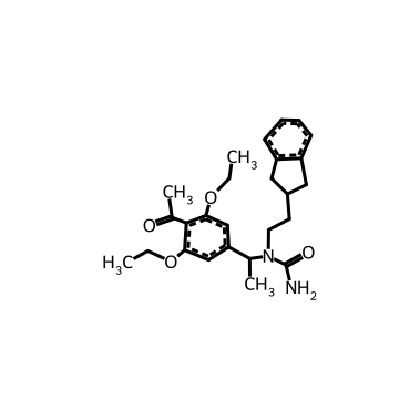 CCOc1cc(C(C)N(CCC2Cc3ccccc3C2)C(N)=O)cc(OCC)c1C(C)=O